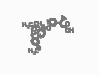 COc1ccc(COCC(C)(C)C)c(N2CCC(COc3cc(C(CC(=O)O)C4CC4)ccn3)CC2)c1